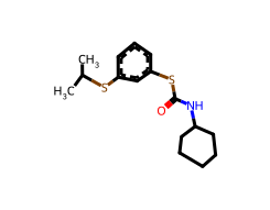 CC(C)Sc1cccc(SC(=O)NC2CCCCC2)c1